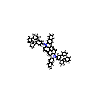 c1ccc([Si](c2ccccc2)(c2ccccc2)c2ccc(N(c3ccc4ccccc4c3)c3ccc4ccc5c(N(c6ccc([Si](c7ccccc7)(c7ccccc7)c7ccccc7)cc6)c6ccc7ccccc7c6)ccc6ccc3c4c65)cc2)cc1